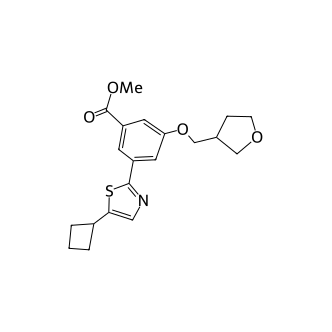 COC(=O)c1cc(OCC2CCOC2)cc(-c2ncc(C3CCC3)s2)c1